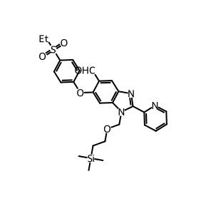 CCS(=O)(=O)c1ccc(Oc2cc3c(cc2C=O)nc(-c2ccccn2)n3COCC[Si](C)(C)C)cc1